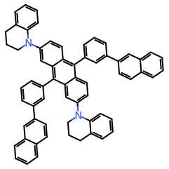 c1cc(-c2ccc3ccccc3c2)cc(-c2c3ccc(N4CCCc5ccccc54)cc3c(-c3cccc(-c4ccc5ccccc5c4)c3)c3cc(N4CCCc5ccccc54)ccc23)c1